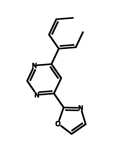 C/C=C\C(=C/C)c1cc(-c2ncco2)ncn1